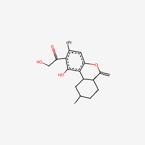 C=C1Oc2cc(CCC)c(C(=O)CO)c(O)c2C2CC(C)CCC12